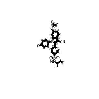 C[C@H](CF)NS(=O)(=O)c1ccc(-c2c(C#N)c3ccc(OC(F)F)cc3n2-c2ccc(F)cc2)nc1